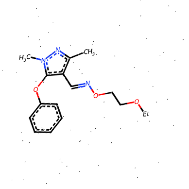 CCOCCON=Cc1c(C)nn(C)c1Oc1ccccc1